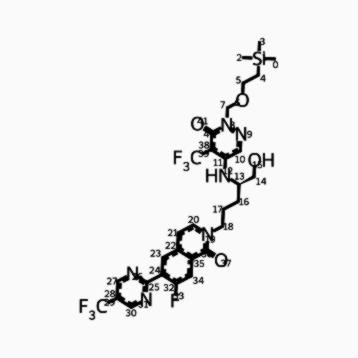 C[Si](C)(C)CCOCn1ncc(N[C@@H](CO)CCCn2ccc3cc(-c4ncc(C(F)(F)F)cn4)c(F)cc3c2=O)c(C(F)(F)F)c1=O